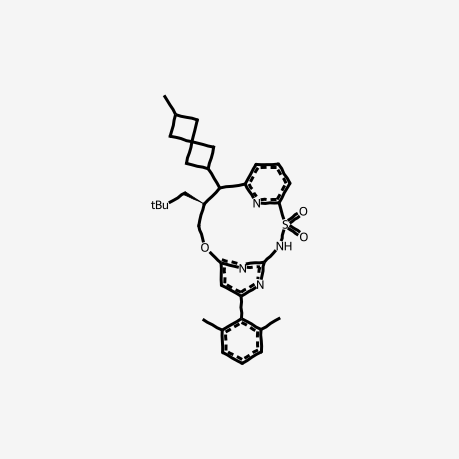 Cc1cccc(C)c1-c1cc2nc(n1)NS(=O)(=O)c1cccc(n1)C(C1CC3(CC(C)C3)C1)[C@H](CC(C)(C)C)CO2